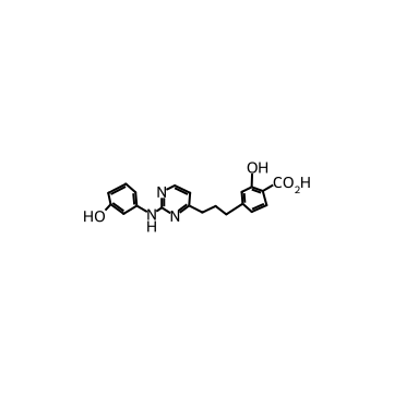 O=C(O)c1ccc(CCCc2ccnc(Nc3cccc(O)c3)n2)cc1O